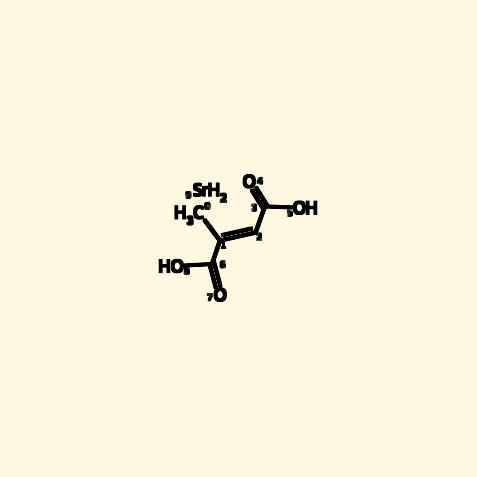 C/C(=C\C(=O)O)C(=O)O.[SrH2]